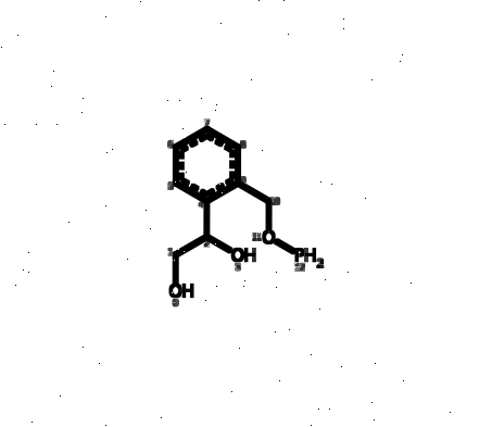 OCC(O)c1ccccc1COP